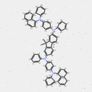 CC1(C)c2cc(N(c3ccccc3)c3ccc(N(C4=CC=CC5CC=CC=C45)c4ccccc4)cc3)ccc2-c2ccc(N(c3ccccc3)c3ccc(N(c4ccccc4)c4cccc5ccccc45)cc3)cc21